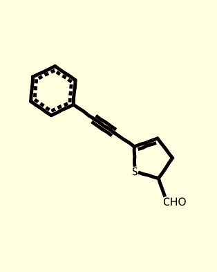 O=CC1CC=C(C#Cc2ccccc2)S1